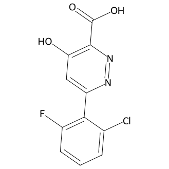 O=C(O)c1nnc(-c2c(F)cccc2Cl)cc1O